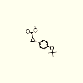 COC(=O)[C@@H]1C[C@H]1c1ccc(OC(C)(C)C)cc1